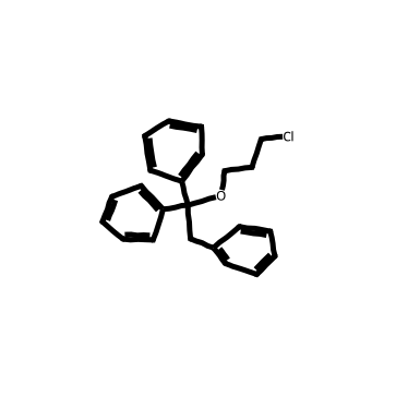 ClCCCOC(Cc1ccccc1)(c1ccccc1)c1ccccc1